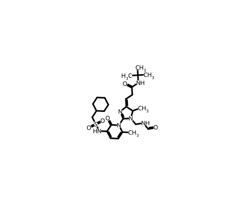 Cc1ccc(NS(=O)(=O)CC2CCCCC2)c(=O)n1C1=NC(=CCC(=O)NC(C)(C)C)C(C)N1CNC=O